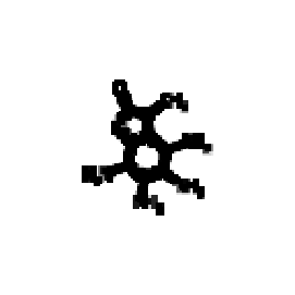 Cn1c(=O)sc2c(N)c(N)c(N)c(N)c21